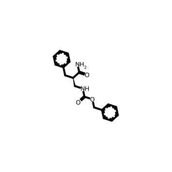 NC(=O)[C@@H](CNC(=O)OCc1ccccc1)Cc1ccccc1